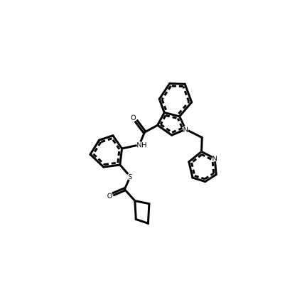 O=C(Nc1ccccc1SC(=O)C1CCC1)c1cn(Cc2ccccn2)c2ccccc12